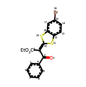 CCOC(=O)/C(C(=O)c1ccccc1)=C1/Sc2ccc(Br)cc2S1